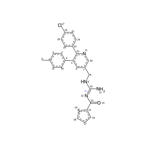 Cc1ccc(-c2cc(CN/C(N)=N/C(=O)c3cccs3)cnc2-c2ccc(Cl)cc2)cc1